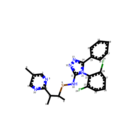 Cc1cnc(C(C)C(C)SNc2nnc(-c3ccccc3)n2-c2c(F)cccc2F)nc1